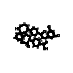 O=C(C(Cc1cc(Cl)cc(Cl)c1)[C@H]1CC(N2CCc3ccccc3NC2=O)CCN1C(=O)O)N1CCC(N2CCCNCC2)CC1